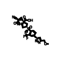 COCc1cn(-c2ccc(S(=O)(=O)[C@@H]3C[C@H](OC)[C@@](C(=O)O)(C4CC4(C#N)C(N)=O)C3)c(C(F)(F)F)c2)nn1